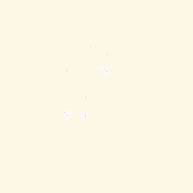 CCCCc1ncc(CO)n1Cc1ccc2c(c1)cc(C(=O)O)n2-c1ccccc1C(=O)O.[LiH].[LiH]